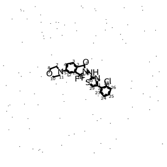 O=C1c2ccc(N3CCOCC3)cc2C(F)(F)N1Nc1nc(-c2ccccc2Cl)cs1